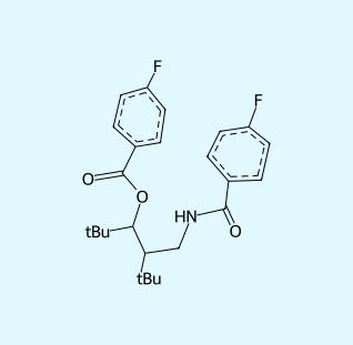 CC(C)(C)C(CNC(=O)c1ccc(F)cc1)C(OC(=O)c1ccc(F)cc1)C(C)(C)C